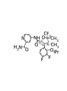 CC(C)Oc1c([C@H]2[C@@H](C(=O)Nc3ccnc(C(N)=O)c3)O[C@](C)(C(F)(F)F)[C@@H]2C)ccc(F)c1F